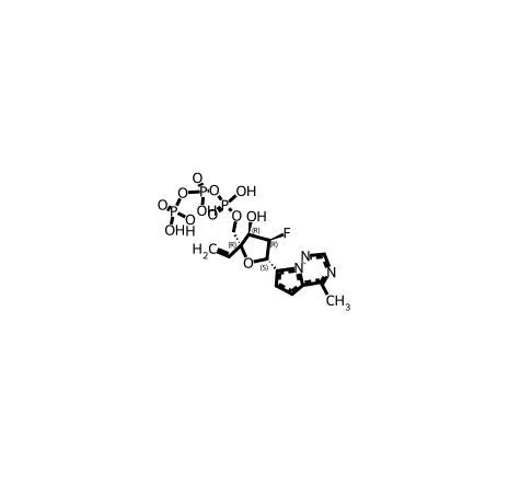 C=C[C@]1(COP(=O)(O)OP(=O)(O)OP(=O)(O)O)O[C@@H](c2ccc3c(C)ncnn23)[C@H](F)[C@@H]1O